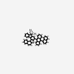 CC1(C)c2ccccc2-c2c1cc(-c1c3ccccc3c(-c3cccc4ccccc34)c3ccccc13)c1sc3ccc4ccccc4c3c21